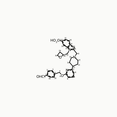 O=Cc1ccc(COc2cccc(C3CCN(Cc4nc5ccc(C(=O)O)cc5n4C[C@@H]4CCO4)CC3)n2)cc1